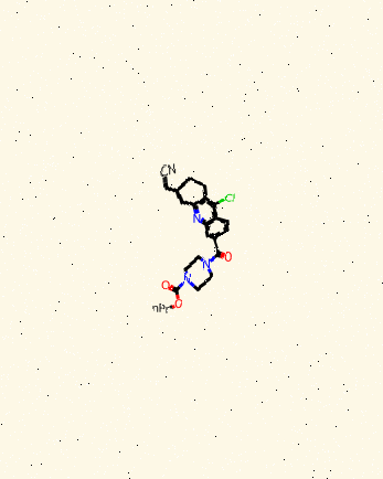 CCCOC(=O)N1CCN(C(=O)c2ccc3c(Cl)c4c(nc3c2)CC(CC#N)CC4)CC1